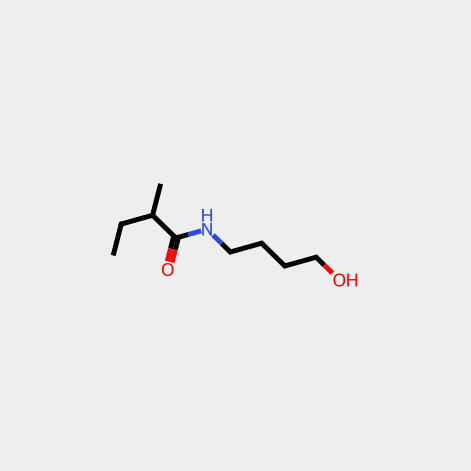 CCC(C)C(=O)NCCCCO